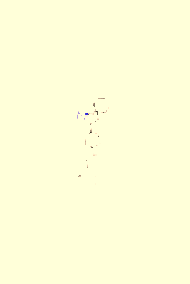 CCCCCC1CCC(CCC2(C#N)CCCCC2)CC1